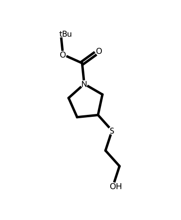 CC(C)(C)OC(=O)N1CCC(SCCO)C1